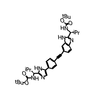 CC(C)[C@H](NC(=O)OC(C)(C)C)c1ncc(-c2ccc(C#Cc3ccc4nc([C@@H](NC(=O)OC(C)(C)C)C(C)C)[nH]c4c3)cc2)[nH]1